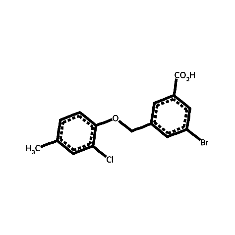 Cc1ccc(OCc2cc(Br)cc(C(=O)O)c2)c(Cl)c1